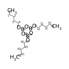 CCCCCOB1OB(OCCCCC)OB(OCCCCC)O1